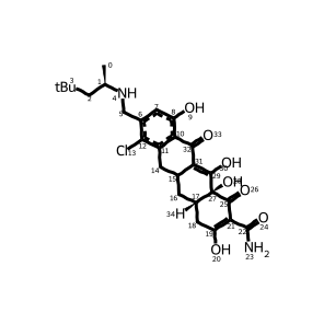 C[C@H](CC(C)(C)C)NCc1cc(O)c2c(c1Cl)CC1C[C@H]3CC(O)=C(C(N)=O)C(=O)[C@@]3(O)C(O)=C1C2=O